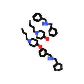 CCCCN1CCC(=O)CC1.CCCCN1CCC(=O)CC1.c1ccc(CNCc2ccccc2)cc1.c1ccc(CNCc2ccccc2)cc1